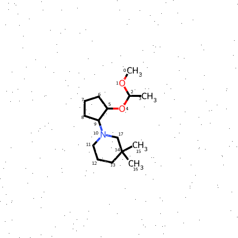 COC(C)OC1CCCC1N1CCCC(C)(C)C1